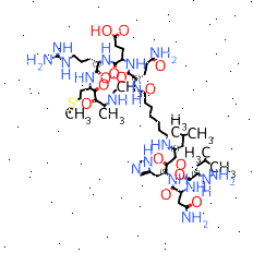 CCNC(C)C(=O)C(=O)C(CCSC)NC(=O)[C@H](CCCNC(=N)N)NC(=O)C(CCC(=O)O)NC(=O)[C@H](CCC(N)=O)NC(=O)CCCCCCN[C@@H](CC(C)C)C(=O)C(=O)[C@H](Cc1cnc[nH]1)NC(=O)C(CC(N)=O)NC(=O)[C@H](CC(C)C)NN